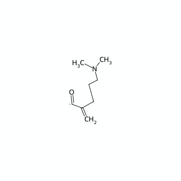 C=C([C]=O)CCCN(C)C